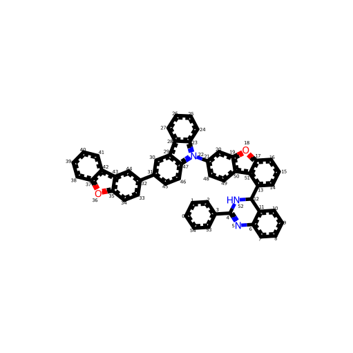 c1ccc(C2=Nc3ccccc3C(c3cccc4oc5cc(-n6c7ccccc7c7cc(-c8ccc9oc%10ccccc%10c9c8)ccc76)ccc5c34)N2)cc1